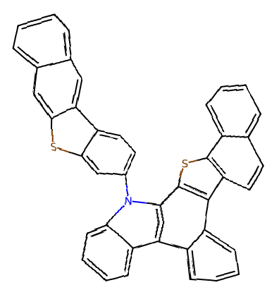 c1ccc2cc3c(cc2c1)sc1cc(-n2c4ccccc4c4c5ccccc5c5c6ccc7ccccc7c6sc5c42)ccc13